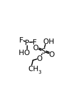 CCOS(=O)(=O)O.OP(F)F